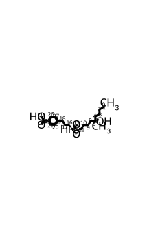 CCCCCC(C)(O)CCCCS(=O)(=O)NCCCc1ccc(C(=O)O)cc1